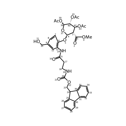 COC(=O)[C@@H]1[C@@H](Oc2ccc(CO)cc2NC(=O)CCNC(=O)OCC2c3ccccc3-c3ccccc32)O[C@@H](OC(C)=O)[C@H](OC(C)=O)[C@H]1OC(C)=O